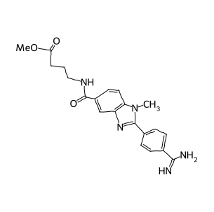 COC(=O)CCCNC(=O)c1ccc2c(c1)nc(-c1ccc(C(=N)N)cc1)n2C